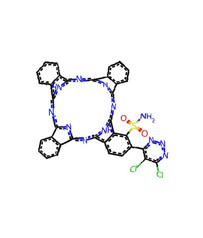 NS(=O)(=O)c1c(-c2nnnc(Cl)c2Cl)ccc2c3nc4nc(nc5[nH]c(nc6nc(nc([nH]3)c12)-c1ccccc1-6)c1ccccc51)-c1ccccc1-4